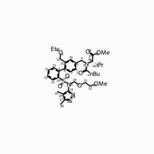 CCCCC(=O)N(Cc1ccc(-c2ccccc2S(=O)(=O)N(COCCOC)c2nsc(C)c2C)c(COCC)c1)[C@H](C(=O)OC)C(C)C